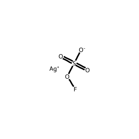 O=S(=O)([O-])OF.[Ag+]